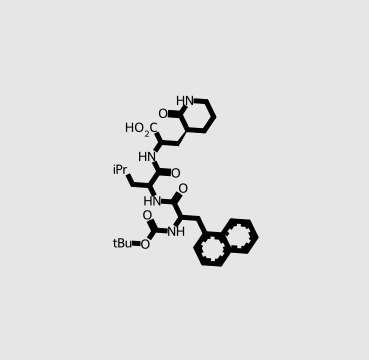 CC(C)CC(NC(=O)C(Cc1cccc2ccccc12)NC(=O)OC(C)(C)C)C(=O)NC(C[C@@H]1CCCNC1=O)C(=O)O